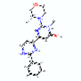 C[C@@H]1COCCN1c1nc(-c2ccnc(-c3ccccc3)n2)cc(=O)n1C